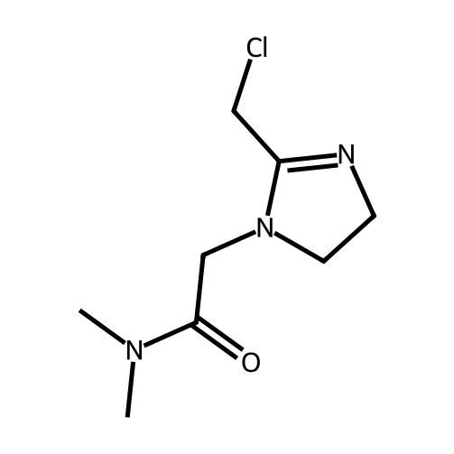 CN(C)C(=O)CN1CCN=C1CCl